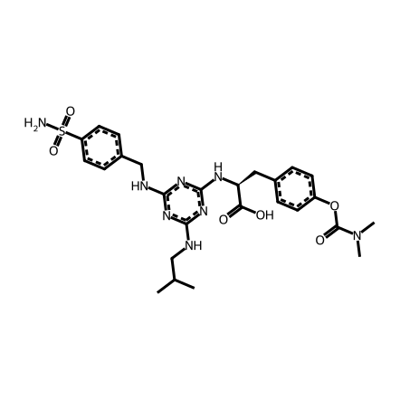 CC(C)CNc1nc(NCc2ccc(S(N)(=O)=O)cc2)nc(N[C@@H](Cc2ccc(OC(=O)N(C)C)cc2)C(=O)O)n1